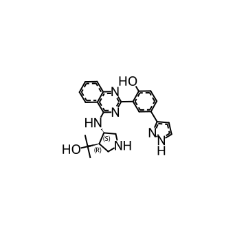 CC(C)(O)[C@@H]1CNC[C@H]1Nc1nc(-c2cc(-c3cc[nH]n3)ccc2O)nc2ccccc12